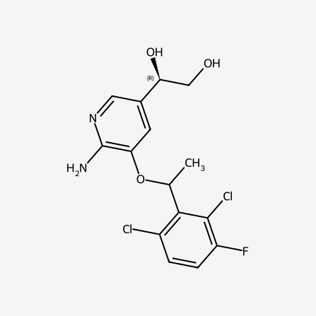 CC(Oc1cc([C@@H](O)CO)cnc1N)c1c(Cl)ccc(F)c1Cl